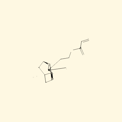 C=CC(=O)OCCC1(C)C=C2C[C@H]3CC(CC23)C1